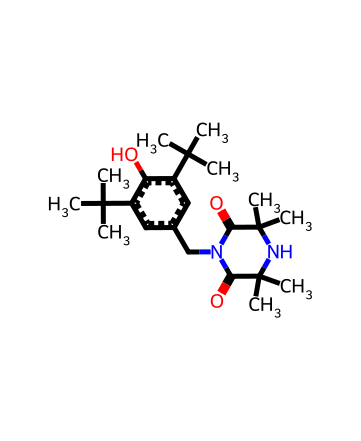 CC1(C)NC(C)(C)C(=O)N(Cc2cc(C(C)(C)C)c(O)c(C(C)(C)C)c2)C1=O